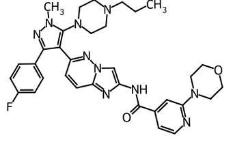 CCCN1CCN(c2c(-c3ccc4nc(NC(=O)c5ccnc(N6CCOCC6)c5)cn4n3)c(-c3ccc(F)cc3)nn2C)CC1